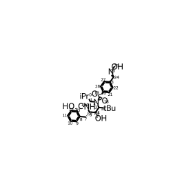 CC(C)CN(C([C@H](O)[C@H](Cc1ccccc1)NC(=O)O)C(C)(C)C)S(=O)(=O)c1ccc(C=NO)cc1